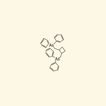 c1ccc([As](CC2CCC2C[As](c2ccccc2)c2ccccc2)c2ccccc2)cc1